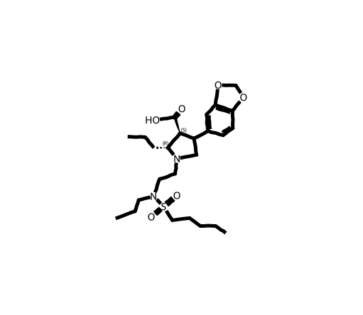 CCCCCS(=O)(=O)N(CCC)CCN1CC(c2ccc3c(c2)OCO3)[C@H](C(=O)O)[C@H]1CCC